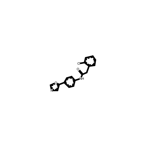 O=C(Cc1ccccc1Cl)Nc1ccc(-c2cnco2)cc1